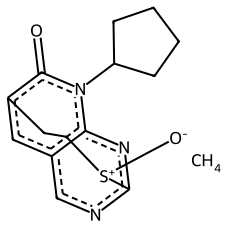 C.O=c1c2cc3cnc(nc3n1C1CCCC1)[S+]([O-])CC2